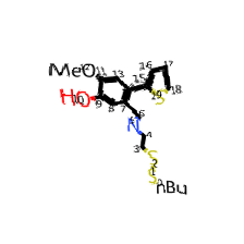 CCCCSSCC/N=C/c1cc(O)c(OC)cc1-c1cccs1